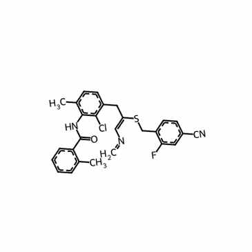 C=N/C=C(/Cc1ccc(C)c(NC(=O)c2ccccc2C)c1Cl)SCc1ccc(C#N)cc1F